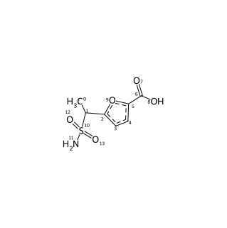 CC(c1ccc(C(=O)O)o1)S(N)(=O)=O